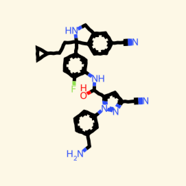 N#Cc1ccc2c(c1)CNC2(CCC1CC1)c1ccc(F)c(NC(O)c2cc(C#N)nn2-c2cccc(CN)c2)c1